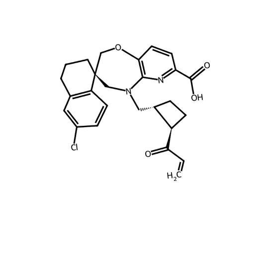 C=CC(=O)[C@@H]1CC[C@H]1CN1C[C@@]2(CCCc3cc(Cl)ccc32)COc2ccc(C(=O)O)nc21